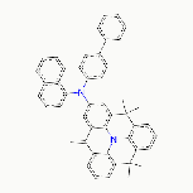 C=C1c2cccc3c2N2c4c1cc(N(c1ccc(-c5ccccc5)cc1)c1cccc5ccccc15)cc4C(C)(C)c1cccc(c12)C3(C)C